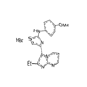 Br.CCc1nc2ncccn2c1-c1csc(Nc2ccc(OC)cc2)n1